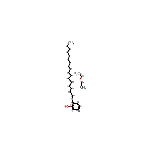 CCCCCCCCCCCCCCCCCCc1ccccc1O.CCOCC